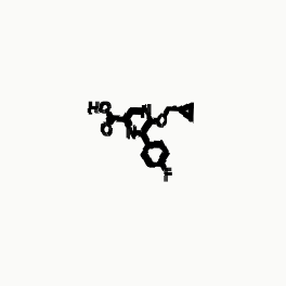 O=C(O)c1cnc(OCC2CC2)c(-c2ccc(F)cc2)n1